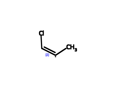 C/[C]=C\Cl